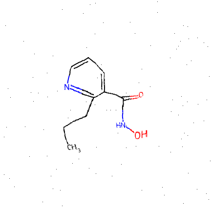 CCCc1ncccc1C(=O)NO